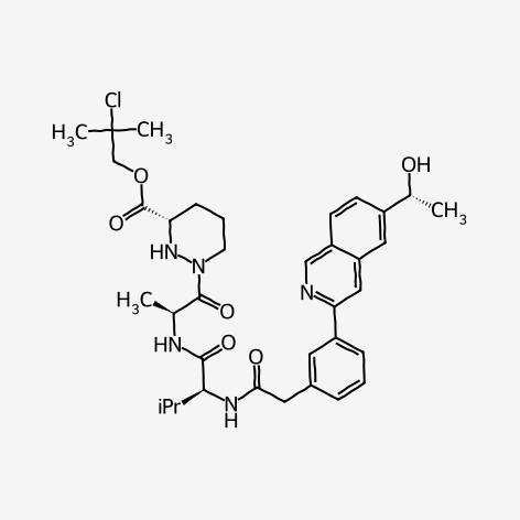 CC(C)[C@H](NC(=O)Cc1cccc(-c2cc3cc([C@@H](C)O)ccc3cn2)c1)C(=O)N[C@@H](C)C(=O)N1CCC[C@@H](C(=O)OCC(C)(C)Cl)N1